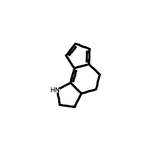 C1=CC2=C3NCCC3CCC2=C1